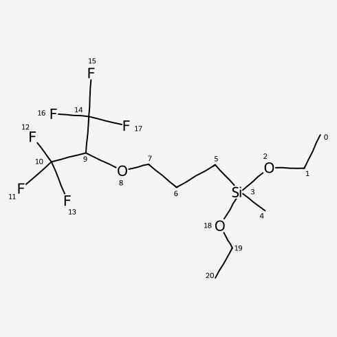 CCO[Si](C)(CCCOC(C(F)(F)F)C(F)(F)F)OCC